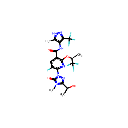 Cc1[nH]nc(C(F)(F)F)c1NC(=O)c1cc(F)c(-n2nc(C(C)O)n(C)c2=O)nc1O[C@@H](C)C(F)(F)F